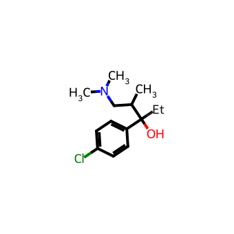 CCC(O)(c1ccc(Cl)cc1)C(C)CN(C)C